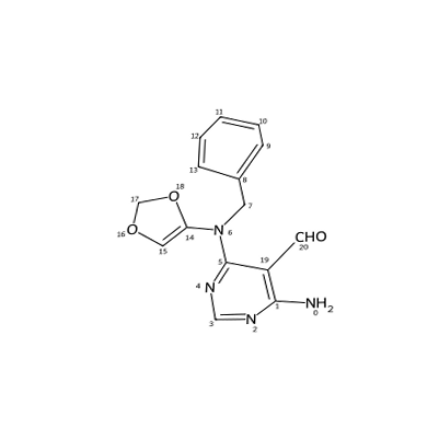 Nc1ncnc(N(Cc2ccccc2)C2=COCO2)c1C=O